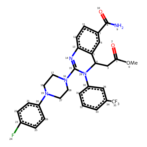 COC(=O)CC1c2cc(C(N)=O)ccc2N=C(N2CCN(c3ccc(F)cc3)CC2)N1c1cccc(C(F)(F)F)c1